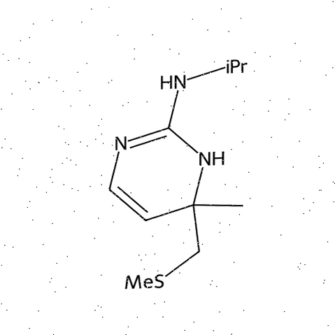 CSCC1(C)C=CN=C(NC(C)C)N1